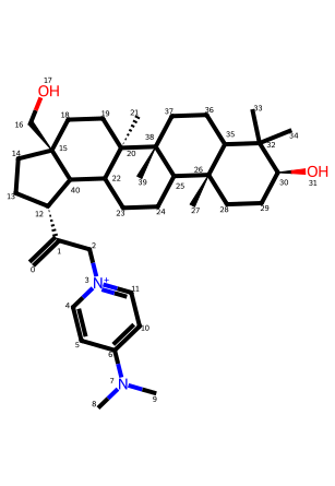 C=C(C[n+]1ccc(N(C)C)cc1)[C@@H]1CC[C@]2(CO)CC[C@]3(C)C(CCC4[C@@]5(C)CC[C@H](O)C(C)(C)C5CC[C@]43C)C12